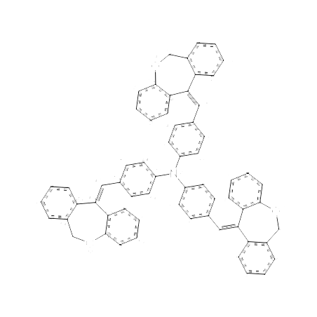 C(=C1\c2ccccc2COc2ccccc21)/c1ccc(N(c2ccc(/C=C3/c4ccccc4COc4ccccc43)cc2)c2ccc(/C=C3/c4ccccc4COc4ccccc43)cc2)cc1